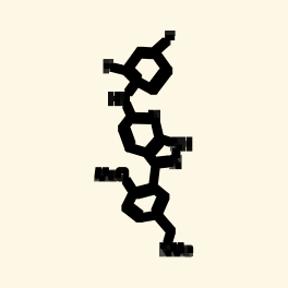 CNCc1ccc(OC)c(-c2n[nH]c3nc(Nc4ccc(F)cc4F)ccc23)c1